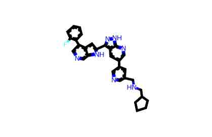 Fc1ccccc1-c1cncc2[nH]c(-c3n[nH]c4ncc(-c5cncc(CNCC6CCCC6)c5)cc34)cc12